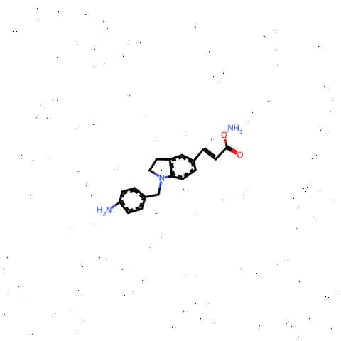 NOC(=O)/C=C/c1ccc2c(c1)CCN2Cc1ccc(N)cc1